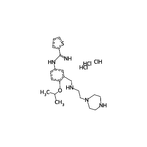 CC(C)Oc1ccc(NC(=N)c2cccs2)cc1CNCCN1CCNCC1.Cl.Cl.Cl